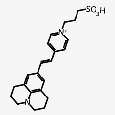 O=S(=O)(O)CCC[n+]1ccc(/C=C/c2cc3c4c(c2)CCCN4CCC3)cc1